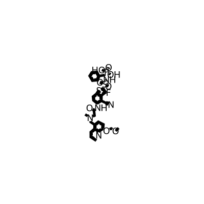 COCOc1ccc(CN(C)CC(=O)Nc2ccc3sc(S(=O)(=O)NC(c4ccccc4)P(=O)(O)O)c(F)c3c2C#N)c2cccnc12